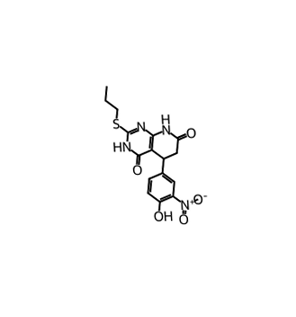 CCCSc1nc2c(c(=O)[nH]1)C(c1ccc(O)c([N+](=O)[O-])c1)CC(=O)N2